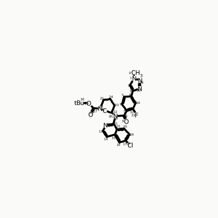 Cn1cc(-c2ccc(C(=O)N(c3nccc4cc(Cl)ccc34)[C@@H]3CCCN(C(=O)OC(C)(C)C)C3)c(F)c2)nn1